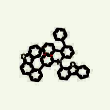 c1ccc(-c2cccc(N(c3cccc(-c4cccc5ccc6oc7ccccc7c6c45)c3)c3cccc4c3oc3ccccc34)c2-c2ccccc2)cc1